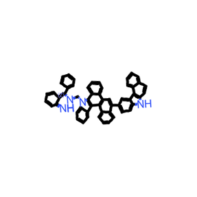 N=C1C=CC=C/C1=C(/NCn1c2ccccc2c2c3c4ccccc4c(-c4ccc5[nH]c6ccc7ccccc7c6c5c4)cc3c3ccccc3c21)c1ccccc1